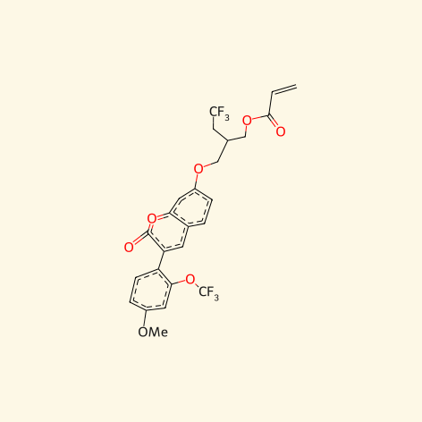 C=CC(=O)OCC(COc1ccc2cc(-c3ccc(OC)cc3OC(F)(F)F)c(=O)oc2c1)CC(F)(F)F